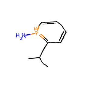 CC(C)C1=[PH](N)C=CC=C1